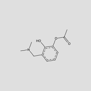 CC(=O)Oc1cccc(CN(C)C)c1O